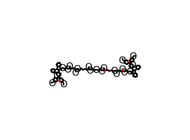 COc1ccc(C2(c3ccc(OC)cc3)C=Cc3c4c(c5ccccc5c3O2)-c2ccccc2C4(C)OCCOC(=O)CCC(=O)OCCCCCC(=O)OCCOCCOC(=O)CCCCCOC(=O)CCC(=O)OCCOC2(C)c3ccccc3-c3c2c2c(c4ccccc34)OC(c3ccc(OC)cc3)(c3ccc(OC)cc3)C=C2)cc1